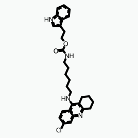 O=C(NCCCCCCNc1c2c(nc3cc(Cl)ccc13)CCCC2)OCCc1c[nH]c2ccccc12